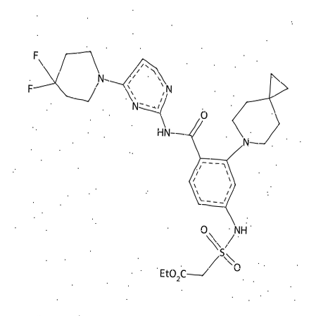 CCOC(=O)CS(=O)(=O)Nc1ccc(C(=O)Nc2nccc(N3CCC(F)(F)CC3)n2)c(N2CCC3(CC2)CC3)c1